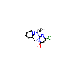 CCCNc1nc(Cl)cc(=O)n1Cc1ccccc1